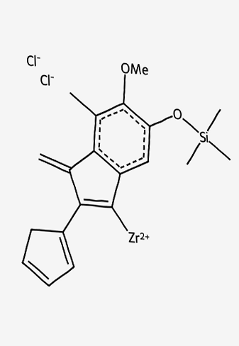 C=C1C(C2=CC=CC2)=[C]([Zr+2])c2cc(O[Si](C)(C)C)c(OC)c(C)c21.[Cl-].[Cl-]